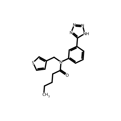 CCCCC(=O)N(Cc1ccsc1)c1cccc(-c2nnn[nH]2)c1